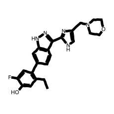 CCc1cc(O)c(F)cc1-c1ccc2c(-c3nc(CN4CCOCC4)c[nH]3)n[nH]c2c1